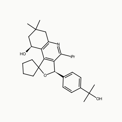 CC(C)c1nc2c(c3c1[C@@H](c1ccc(C(C)(C)O)cc1)OC31CCCC1)[C@@H](O)CC(C)(C)C2